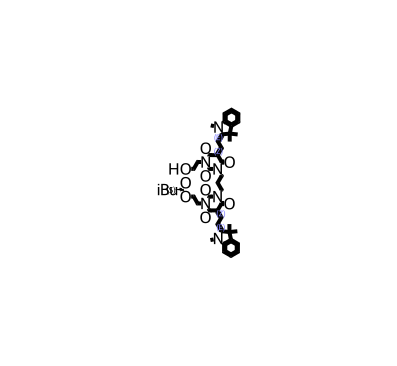 CC[C@H](C)C(=O)OCCN1C(=O)/C(=C\C=C2\N(C)c3ccccc3C2(C)C)C(=O)N(CCCN2C(=O)/C(=C/C=C3/N(C)c4ccccc4C3(C)C)C(=O)N(CCO)C2=O)C1=O